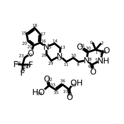 CC1(C)C(=O)NC(=O)N(CCCN2CCN(c3ccccc3OCC(F)(F)F)CC2)C1=O.O=C(O)C=CC(=O)O